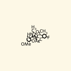 COc1ccnc(C(=O)N[C@@H](C)C(=O)O[C@H](C)[C@H](C)c2ccc(F)cc2C(F)(F)F)c1OC(C)=O